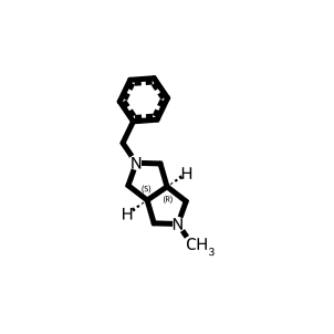 CN1C[C@@H]2CN(Cc3ccccc3)C[C@@H]2C1